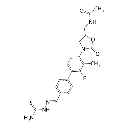 CC(=O)NCC1CN(c2ccc(-c3ccc(C=NNC(N)=S)cc3)c(F)c2C)C(=O)O1